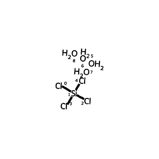 Cl[Si](Cl)(Cl)Cl.O.O.O.O